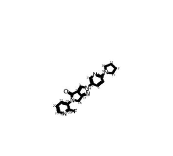 O=C1c2cn(-c3ccc(N4CCCC4)nc3)nc2CN1c1cccnc1F